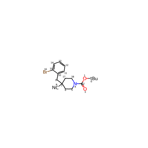 CC(C)(C)OC(=O)N1CCC(C#N)(Cc2ccccc2Br)CC1